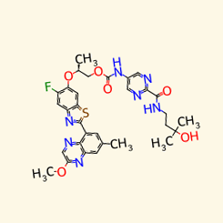 COc1cnc2c(-c3nc4cc(F)c(O[C@@H](C)COC(=O)Nc5cnc(C(=O)NCCC(C)(C)O)nc5)cc4s3)cc(C)cc2n1